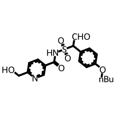 CCCCOc1ccc(C(C=O)S(=O)(=O)NC(=O)c2ccc(CO)nc2)cc1